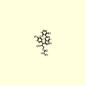 CCCC(COC(=O)NC(C)C)C(c1ccc(C(C)C)cc1)c1c[nH]c2cnc(-c3c(CC)cccc3CC)cc12